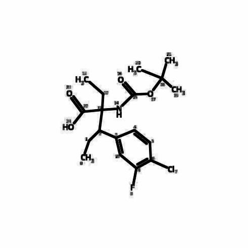 CCC(c1ccc(Cl)c(F)c1)C(CC)(NC(=O)OC(C)(C)C)C(=O)O